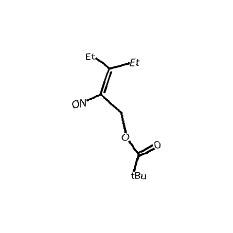 CCC(CC)=C(COC(=O)C(C)(C)C)N=O